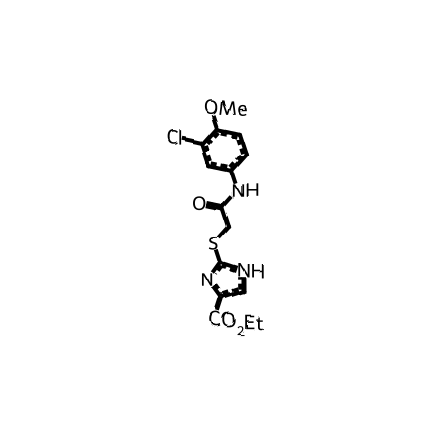 CCOC(=O)c1c[nH]c(SCC(=O)Nc2ccc(OC)c(Cl)c2)n1